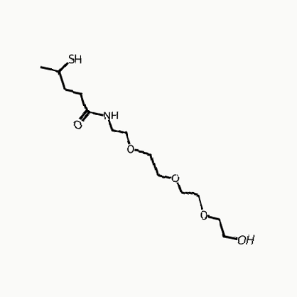 CC(S)CCC(=O)NCCOCCOCCOCCO